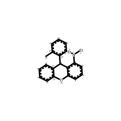 CCN(CC)c1cccc2c1C(c1ccccc1C)c1ccccc1O2